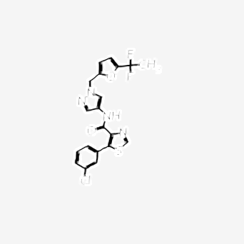 CC(F)(F)c1ccc(Cn2cc(NC(=O)c3ncsc3-c3cccc(Cl)c3)cn2)o1